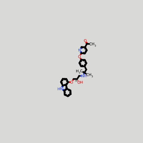 CC(=O)c1ccc(Oc2ccc(CC(C)(C)NC[C@H](O)COc3cccc4[nH]c5ccccc5c34)cc2)nc1